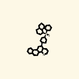 S=P(c1ccccc1)(c1ccc(-c2cc3c4ccccc4ccc3c3ncccc23)cc1)c1cccc2ccccc12